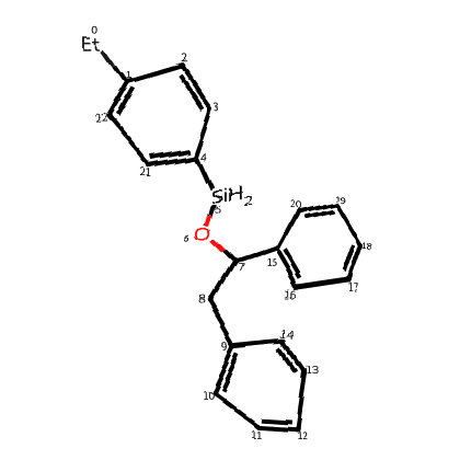 CCc1ccc([SiH2]OC(Cc2ccccc2)c2ccccc2)cc1